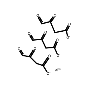 O=CC(=O)CC(=O)[O-].O=CC(=O)CC(=O)[O-].O=CC(=O)CC(=O)[O-].[Al+3]